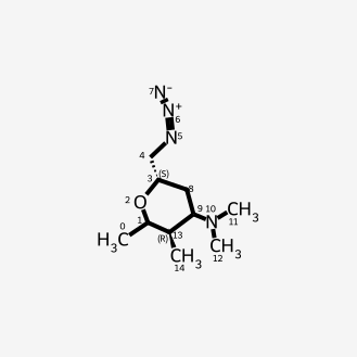 CC1O[C@H](CN=[N+]=[N-])CC(N(C)C)[C@H]1C